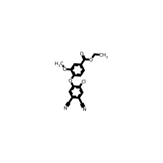 CCOC(=O)c1ccc(Oc2cc(C#N)c(C#N)cc2Cl)c(OC)c1